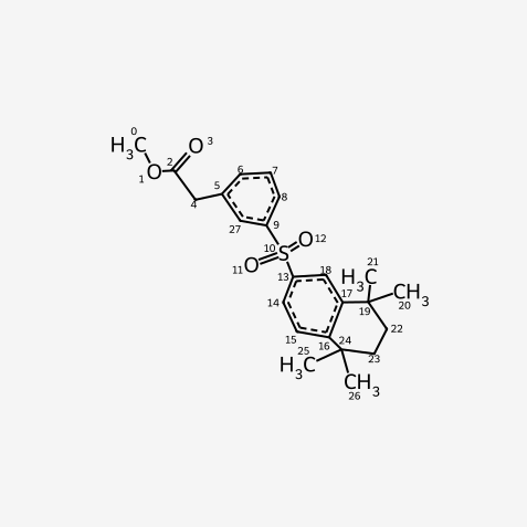 COC(=O)Cc1cccc(S(=O)(=O)c2ccc3c(c2)C(C)(C)CCC3(C)C)c1